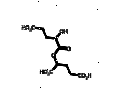 O=C(O)CCC(O)C(=O)OC(CCC(=O)O)C(=O)O